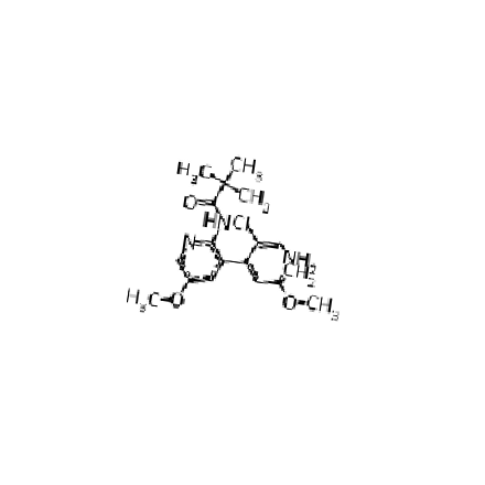 C=C(/C=C(\C(Cl)=C/N)c1cc(OC)cnc1NC(=O)C(C)(C)C)OC